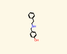 Oc1ccc(CNCCc2ccccc2)cc1